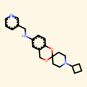 c1cncc(CNc2ccc3c(c2)COC2(CCN(C4CCC4)CC2)O3)c1